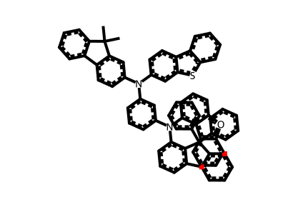 CC1(C)c2ccccc2-c2ccc(N(c3cccc(N(c4cccc5c4C(c4ccccc4)(c4ccccc4)c4ccccc4-5)c4cccc5oc6ccccc6c45)c3)c3ccc4c(c3)sc3ccccc34)cc21